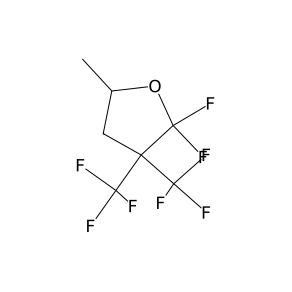 CC1CC(C(F)(F)F)(C(F)(F)F)C(F)(F)O1